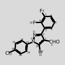 O=Cc1c(-c2cccc(F)c2F)nn(-c2ccc(Cl)cc2)c1Br